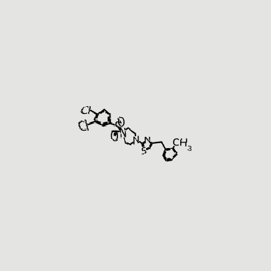 Cc1ccccc1Cc1csc(N2CCN(S(=O)(=O)c3ccc(Cl)c(Cl)c3)CC2)n1